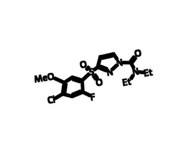 CCN(CC)C(=O)n1ccc(S(=O)(=O)c2cc(OC)c(Cl)cc2F)n1